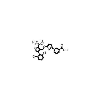 CC(C)c1onc(-c2c(Cl)cccc2Cl)c1COc1ccn(-c2cccc(C(=O)O)c2)n1